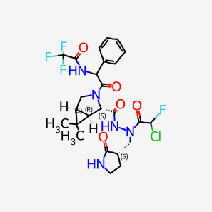 CC1(C)[C@@H]2[C@@H](C(=O)NN(C[C@@H]3CCNC3=O)C(=O)C(F)Cl)N(C(=O)C(NC(=O)C(F)(F)F)c3ccccc3)C[C@@H]21